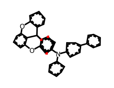 c1ccc(-c2ccc(N(c3ccccc3)c3ccc(C45c6ccccc6Oc6cccc(c64)Oc4ccccc45)cc3)cc2)cc1